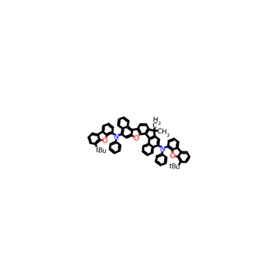 CC(C)(C)c1cccc2c1oc1c(N(c3ccccc3)c3cc4c(c5ccccc35)-c3c(ccc5c3oc3cc(N(c6ccccc6)c6cccc7c6oc6c(C(C)(C)C)cccc67)c6ccccc6c35)C4(C)C)cccc12